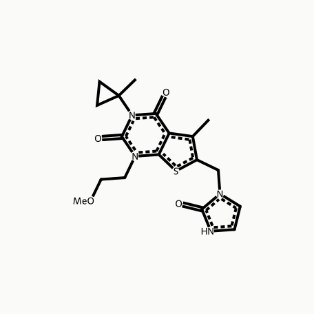 COCCn1c(=O)n(C2(C)CC2)c(=O)c2c(C)c(Cn3cc[nH]c3=O)sc21